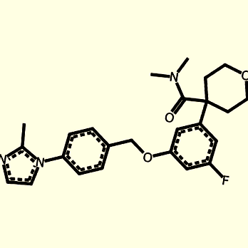 Cc1nccn1-c1ccc(COc2cc(F)cc(C3(C(=O)N(C)C)CCOCC3)c2)cc1